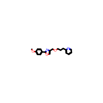 COc1ccc(-c2nc(COCCCc3ccccn3)co2)cc1